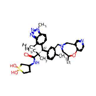 CCC1CN(Cc2cc([C@@H](c3ccc4c(nnn4C)c3C)C(C)(C)C(=O)NC3CCS(O)(O)C3)ccc2C)Cc2cnccc2O1